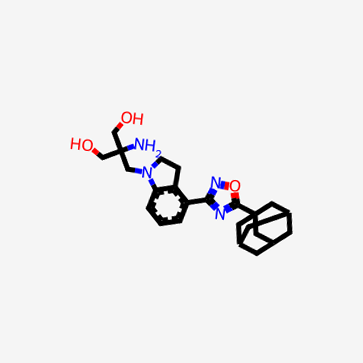 NC(CO)(CO)CN1CCc2c(-c3noc(C45CC6CC(CC(C6)C4)C5)n3)cccc21